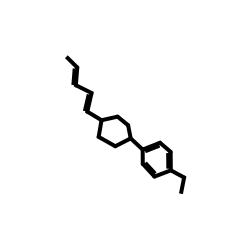 C/C=C/C=C/C1CCC(c2ccc(CC)cc2)CC1